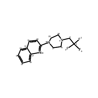 FC(F)(F)CN1CCN(c2ccc3ccccc3n2)CC1